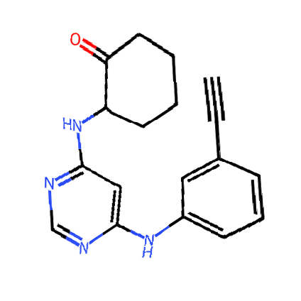 C#Cc1cccc(Nc2cc(NC3CCCCC3=O)ncn2)c1